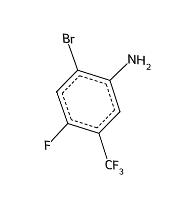 Nc1cc(C(F)(F)F)c(F)cc1Br